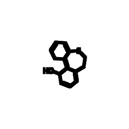 OC1C=CC=C2CCSC3=CC=CCC3=C21